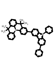 CC1(C)c2ccccc2N2c3ccc(-c4ccc5c(c4)c4cc(-c6ccccc6)ccc4n5-c4ccccc4)cc3C(C)(C)c3cccc1c32